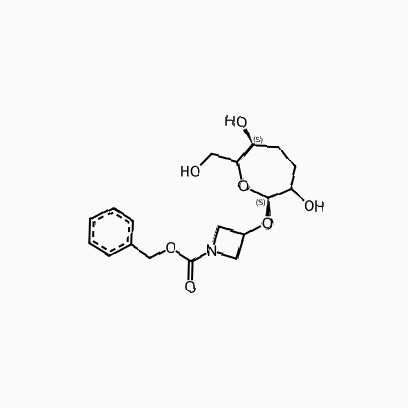 O=C(OCc1ccccc1)N1CC(O[C@H]2OC(CO)[C@@H](O)CCC2O)C1